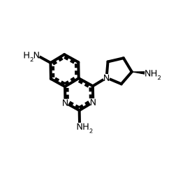 Nc1ccc2c(N3CC[C@@H](N)C3)nc(N)nc2c1